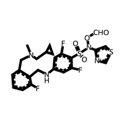 CN(Cc1cccc(F)c1CNc1cc(F)c(S(=O)(=O)N(OC=O)c2cscn2)c(F)c1)CC1CC1